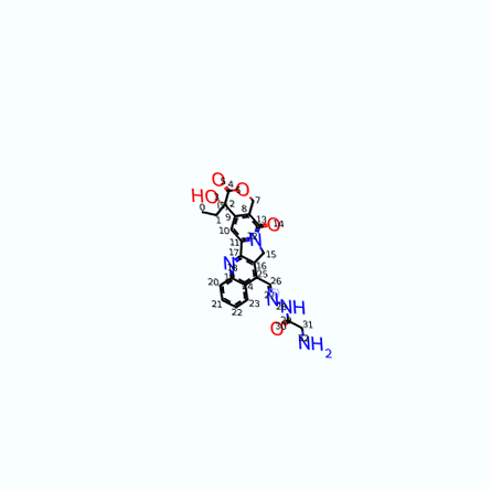 CC[C@@]1(O)C(=O)OCc2c1cc1n(c2=O)Cc2c-1nc1ccccc1c2/C=N/NC(=O)CN